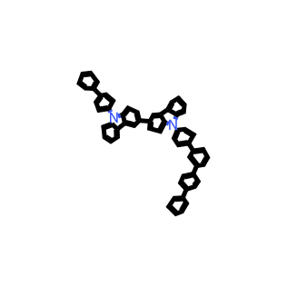 c1ccc(-c2ccc(-c3cccc(-c4ccc(-n5c6ccccc6c6cc(-c7ccc8c(c7)c7ccccc7n8-c7ccc(-c8ccccc8)cc7)ccc65)cc4)c3)cc2)cc1